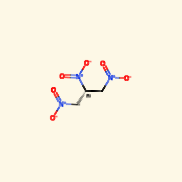 O=[N+]([O-])[CH][C@@H](C[N+](=O)[O-])[N+](=O)[O-]